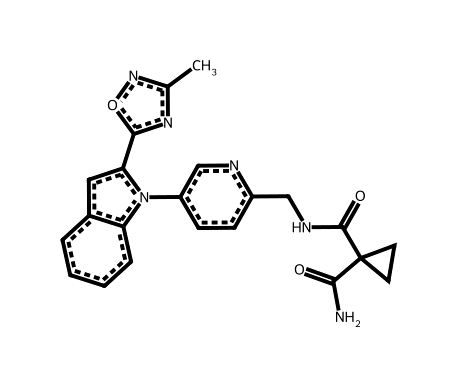 Cc1noc(-c2cc3ccccc3n2-c2ccc(CNC(=O)C3(C(N)=O)CC3)nc2)n1